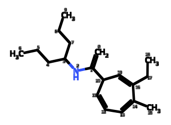 C=C(NC(CCC)CCC)C1C=CC=C(C)C(CC)=C1